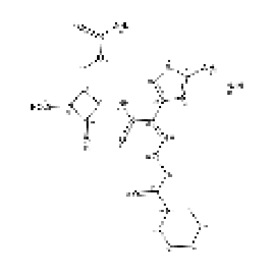 NC(=O)OC[C@@H]1[C@H](NC(=O)C(=NOCC(=O)N2CCCCC2)c2csc(N)n2)C(=O)N1S(=O)(=O)O.[NaH]